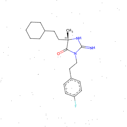 C[C@@]1(CCC2CCCCC2)NC(=N)N(CCc2ccc(F)cc2)C1=O